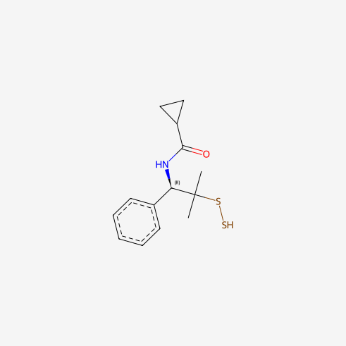 CC(C)(SS)[C@H](NC(=O)C1CC1)c1ccccc1